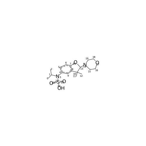 CC(C)N(c1ccc2c(c1)C(C)(C)C(N1CCOCC1)O2)S(=O)(=O)O